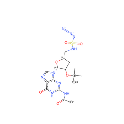 CC(C)C(=O)Nc1nc2c(ncn2[C@@H]2O[C@H](CNS(=O)(=O)N=[N+]=[N-])CC2O[Si](C)(C)C(C)(C)C)c(=O)[nH]1